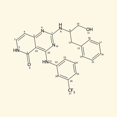 O=c1[nH]ccc2nc(NC(CO)Cc3ccccc3)nc(Nc3cccc(C(F)(F)F)c3)c12